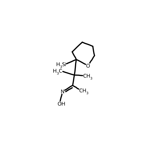 CC(=NO)C(C)(C)C1([SiH3])CCCCO1